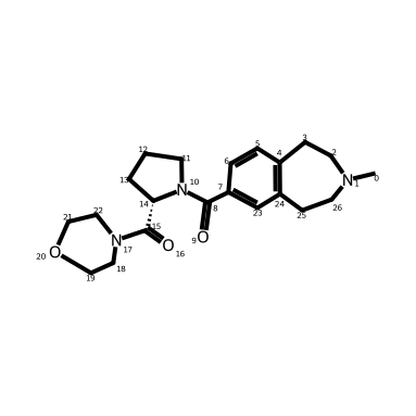 CN1CCc2ccc(C(=O)N3CCC[C@H]3C(=O)N3CCOCC3)cc2CC1